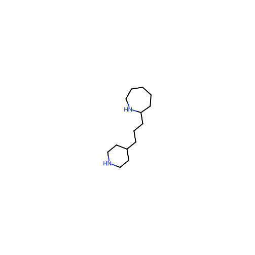 C1CCNC(CCCC2CCNCC2)CC1